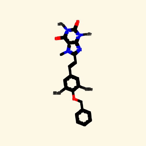 CCCn1c(=O)c2c(nc(/C=C/c3cc(OC)c(OCc4ccccc4)c(OC)c3)n2C)n(CCC)c1=O